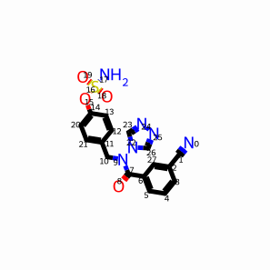 N#Cc1cccc(C(=O)N(Cc2ccc(OS(N)(=O)=O)cc2)n2cnnc2)c1